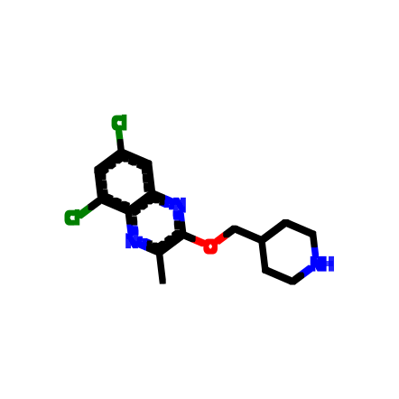 Cc1nc2c(Cl)cc(Cl)cc2nc1OCC1CCNCC1